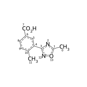 Cc1nc(-c2cc(C(=O)O)ccc2C)no1